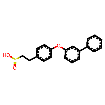 O=S(O)CCc1ccc(Oc2cccc(-c3ccccc3)c2)cc1